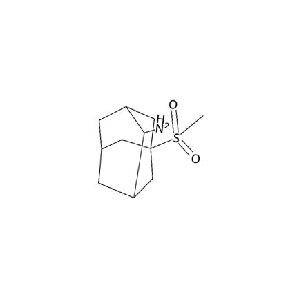 CS(=O)(=O)C12CC3CC(C1)C(N)C(C3)C2